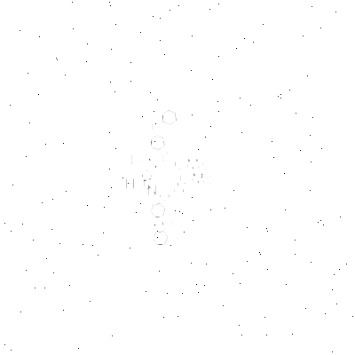 COC(=O)C1C(C(=O)OC)C(C(=O)N(C)Cc2ccc(Oc3ccccc3)cc2)C1C(=O)N(C)Cc1ccc(Oc2ccccc2)cc1